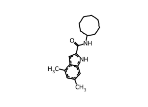 Cc1cc(C)c2cc(C(=O)NC3CCCCCCC3)[nH]c2c1